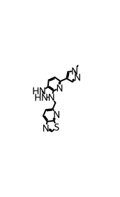 Cn1cc(-c2ccc3c(n2)N(Cc2ccc4ncsc4n2)NN3)cn1